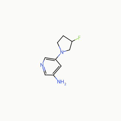 Nc1cncc(N2CCC(F)C2)c1